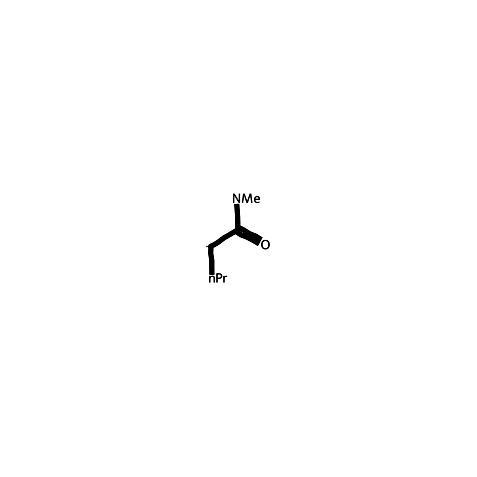 CCC[CH]C(=O)NC